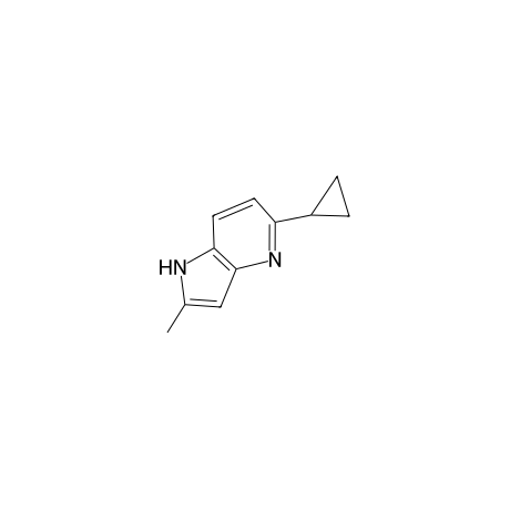 Cc1cc2nc(C3CC3)ccc2[nH]1